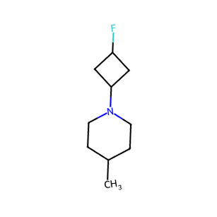 CC1CCN(C2CC(F)C2)CC1